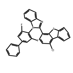 Fc1cc(-c2ccccc2)cc(F)c1-n1c(-c2ccc(Cl)c3c2sc2ccccc23)nc2ccccc21